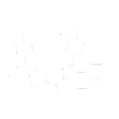 O=C(c1nn(-c2ccc(F)c(C(F)(F)F)c2)c2c1CCc1ncccc1-2)N1CCC2(CC1)CNC[N+]2([O-])c1ccc(F)cc1